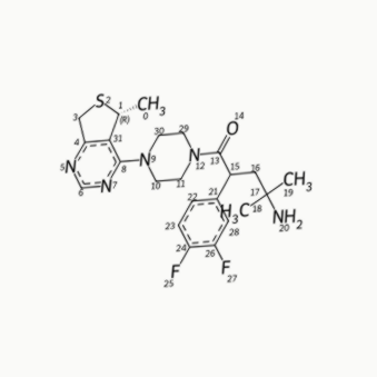 C[C@H]1SCc2ncnc(N3CCN(C(=O)C(CC(C)(C)N)c4ccc(F)c(F)c4)CC3)c21